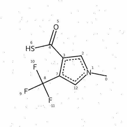 Cn1cc(C(=O)S)c(C(F)(F)F)c1